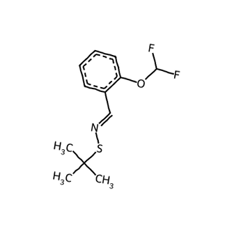 CC(C)(C)SN=Cc1ccccc1OC(F)F